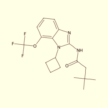 CC(C)(C)CC(=O)Nc1nc2cccc(OC(F)(F)F)c2n1C1CCC1